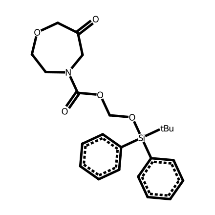 CC(C)(C)[Si](OCOC(=O)N1CCOCC(=O)C1)(c1ccccc1)c1ccccc1